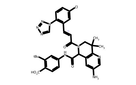 CC(C)(C)c1cc(NC(=O)C2c3cc(N)cnc3C(C)(C)CN2C(=O)/C=C/c2cc(Cl)ccc2-n2cnnn2)ccc1C(=O)O